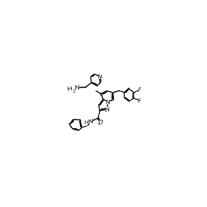 Cc1cc(Cc2ccc(F)c(F)c2)cn2nc(C(=O)NCc3ccccc3)cc12.NCc1ccncc1